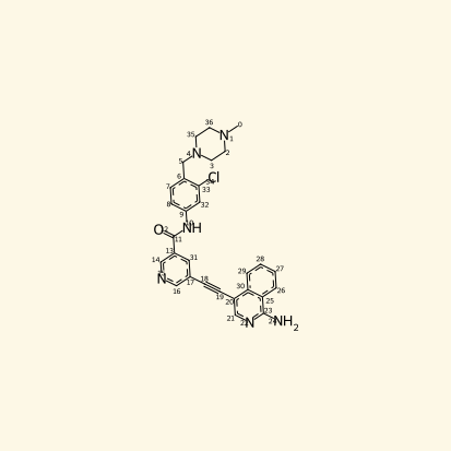 CN1CCN(Cc2ccc(NC(=O)c3cncc(C#Cc4cnc(N)c5ccccc45)c3)cc2Cl)CC1